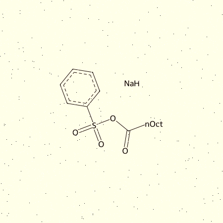 CCCCCCCCC(=O)OS(=O)(=O)c1ccccc1.[NaH]